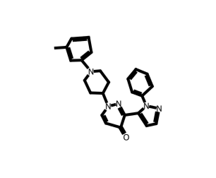 Cc1cccc(N2CCC(n3ccc(=O)c(-c4ccnn4-c4ccccc4)n3)CC2)c1